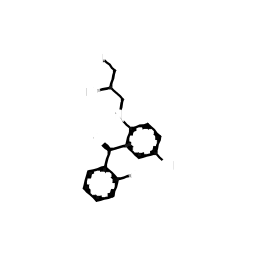 O=C(c1ccccc1Cl)c1cc(Cl)ccc1NCC(O)CCl